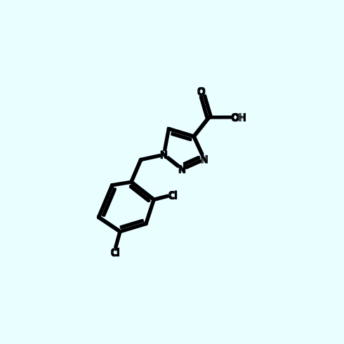 O=C(O)c1cn(Cc2ccc(Cl)cc2Cl)nn1